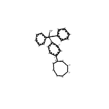 ClC(c1ccccc1)(c1ccccc1)c1ccc(C2CCCCCCC2)cc1